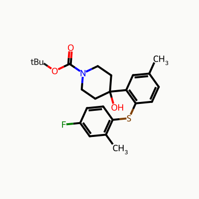 Cc1ccc(Sc2ccc(F)cc2C)c(C2(O)CCN(C(=O)OC(C)(C)C)CC2)c1